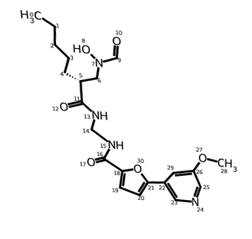 CCCCC[C@H](CN(O)C=O)C(=O)NCNC(=O)c1ccc(-c2cncc(OC)c2)o1